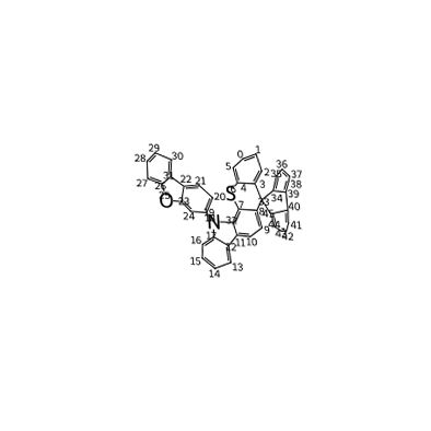 c1ccc2c(c1)Sc1c(ccc3c4ccccc4n(-c4ccc5c(c4)oc4ccccc45)c13)C21c2ccccc2-c2ccccc21